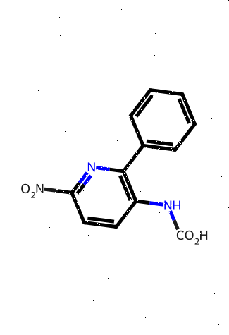 O=C(O)Nc1ccc([N+](=O)[O-])nc1-c1ccccc1